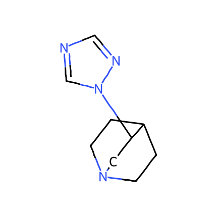 c1ncn(C2CN3CCC2CC3)n1